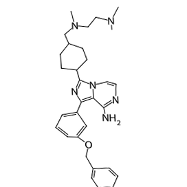 CN(C)CCN(C)CC1CCC(c2nc(-c3cccc(OCc4ccccc4)c3)c3c(N)nccn23)CC1